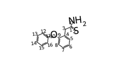 NC(=S)Cc1ccccc1Oc1ccccc1